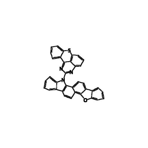 c1ccc2c(c1)Sc1cccc3nc(-n4c5ccccc5c5ccc6c(ccc7c8ccccc8oc76)c54)nc-2c13